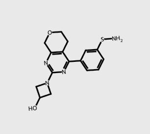 NSc1cccc(-c2nc(N3CC(O)C3)nc3c2CCOC3)c1